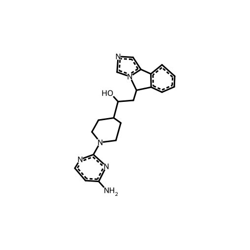 Nc1ccnc(N2CCC(C(O)CC3c4ccccc4-c4cncn43)CC2)n1